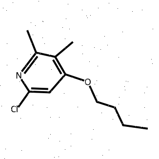 CCCCOc1cc(Cl)nc(C)c1C